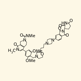 CNC(=O)N1CCc2c(-c3cc(OC)c(CN4CCOC(CCCN5CCN(c6ccc7c(c6)C(=O)N(C6CCC(=O)NC6=O)C7=O)CC5)C4)c(OC)c3)cn(C)c(=O)c2C1